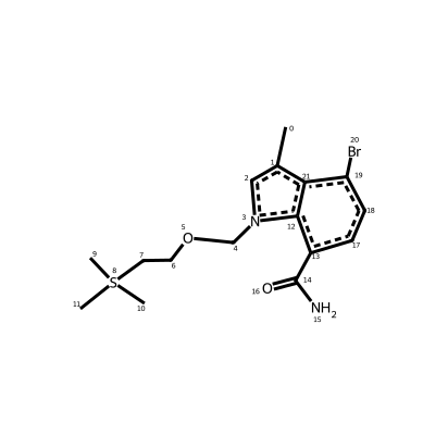 Cc1cn(COCCS(C)(C)C)c2c(C(N)=O)ccc(Br)c12